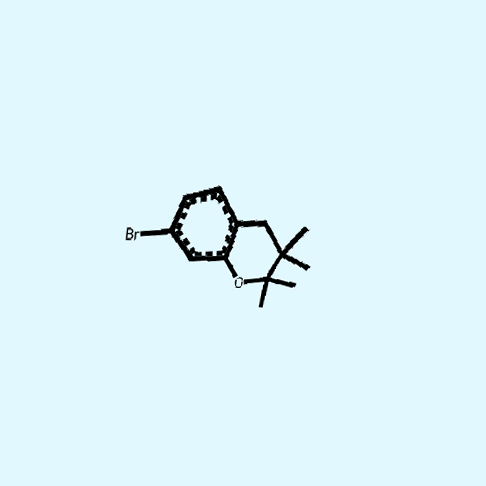 CC1(C)Cc2ccc(Br)cc2OC1(C)C